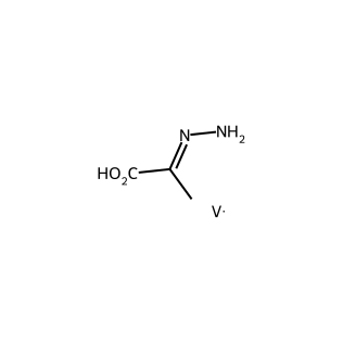 CC(=NN)C(=O)O.[V]